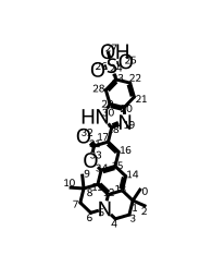 CC1(C)CCN2CCC(C)(C)c3c2c1cc1cc(-c2nc4ccc(S(=O)(=O)O)cc4[nH]2)c(=O)oc31